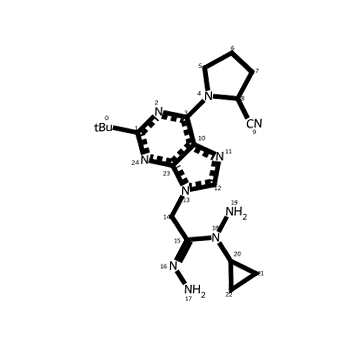 CC(C)(C)c1nc(N2CCCC2C#N)c2ncn(C/C(=N/N)N(N)C3CC3)c2n1